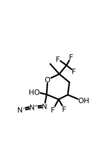 CC1(C(F)(F)F)CC(O)C(F)(F)C(O)(N=[N+]=[N-])O1